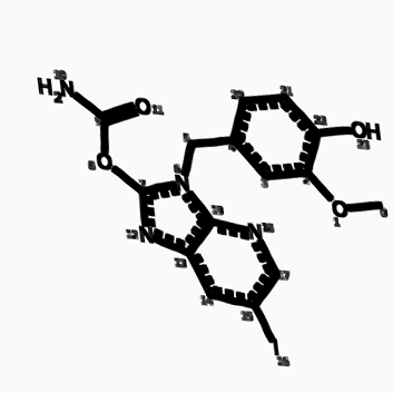 COc1cc(Cn2c(OC(N)=O)nc3cc(I)cnc32)ccc1O